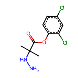 CC(C)(NN)C(=O)Oc1ccc(Cl)cc1Cl